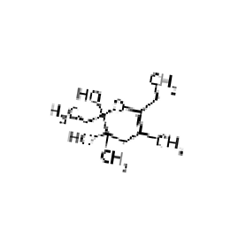 CCC1=C(C)CC(C)(O)C(O)(CC)O1